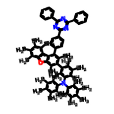 Bc1c(B)c(B)c(N(c2c(B)c(B)c(B)c(B)c2B)c2c(B)c(B)c(B)c(-c3c(B)c(-c4ccc(-c5nc(-c6ccccc6)nc(-c6ccccc6)n5)cc4)c4c(oc5c(B)c(B)c(B)c(B)c54)c3B)c2B)c(B)c1B